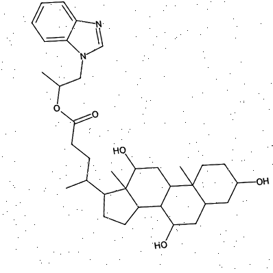 CC(Cn1cnc2ccccc21)OC(=O)CCC(C)C1CCC2C3C(O)CC4CC(O)CCC4(C)C3CC(O)C12C